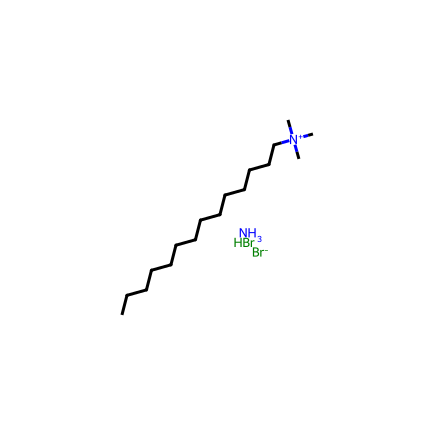 Br.CCCCCCCCCCCCCC[N+](C)(C)C.N.[Br-]